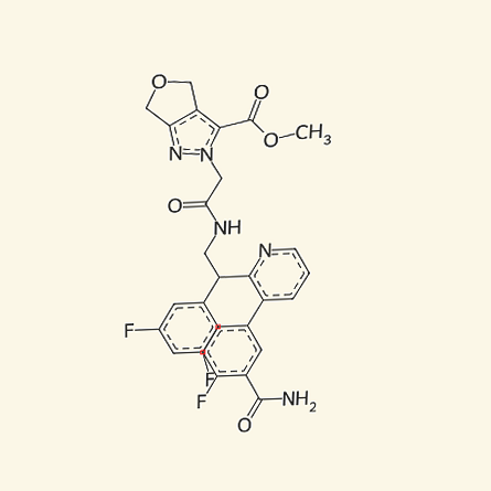 COC(=O)c1c2c(nn1CC(=O)NCC(c1cc(F)cc(F)c1)c1ncccc1-c1ccc(F)c(C(N)=O)c1)COC2